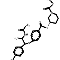 CC(NC(=O)C(F)(F)F)C(Oc1ccc(C(=O)O[C@H]2CCCN(C(=O)OC(C)(C)C)C2)cc1)c1ccc(Br)cc1